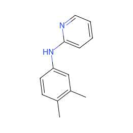 Cc1ccc(Nc2ccccn2)cc1C